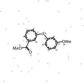 COC(=O)c1cccc(Sc2cccc(OC)c2)c1